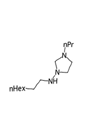 CCCCCCCCNN1CCN(CCC)C1